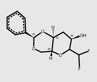 O[C@@H]1C[C@@H]2O[C@H](c3ccccc3)OC[C@H]2OC1C(F)F